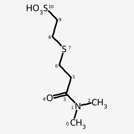 CN(C)C(=O)CCSCCS(=O)(=O)O